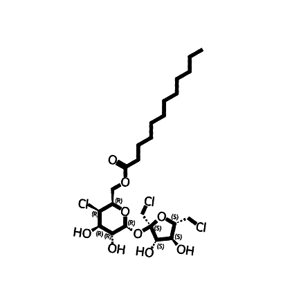 CCCCCCCCCCCC(=O)OC[C@H]1O[C@H](O[C@@]2(CCl)O[C@H](CCl)[C@@H](O)[C@@H]2O)[C@H](O)[C@@H](O)[C@H]1Cl